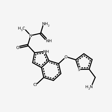 CN(C(=N)N)C(=O)c1cc2c(Cl)ccc(Oc3ccc(CN)s3)c2[nH]1